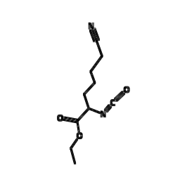 CCOC(=O)C(CCCCC#N)N=C=O